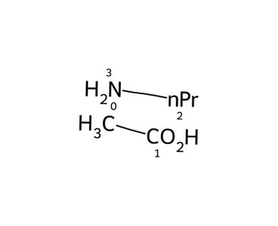 CC(=O)O.CCCN